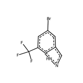 FC(F)(F)c1cc(Br)cc2cn[nH]c12